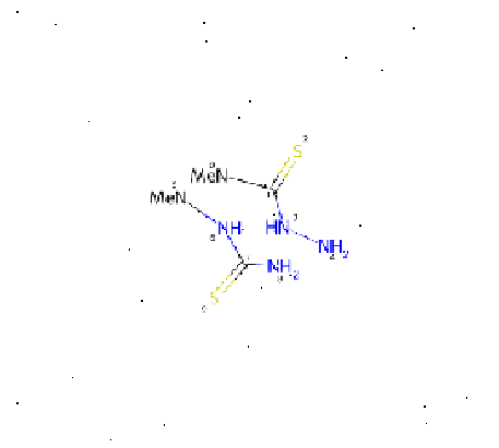 CNC(=S)NN.CNNC(N)=S